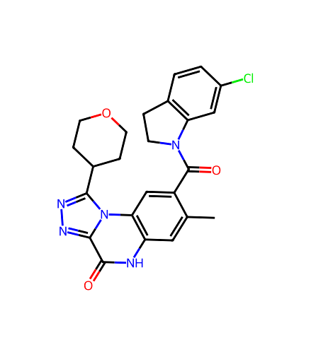 Cc1cc2[nH]c(=O)c3nnc(C4CCOCC4)n3c2cc1C(=O)N1CCc2ccc(Cl)cc21